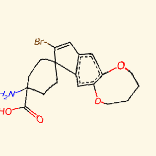 NC1(C(=O)O)CCC2(CC1)C(Br)=Cc1cc3c(cc12)OCCCCO3